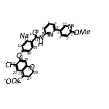 COc1ccc(-c2cccc(NC(=O)c3ccc(Oc4cc5c(cc4Cl)C(C(=O)[O-])CCO5)cc3)n2)cn1.[Na+]